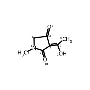 C/C(O)=C1\C(=O)CN(C)C1=O